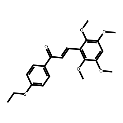 CCSc1ccc(C(=O)C=Cc2c(OC)c(OC)cc(OC)c2OC)cc1